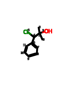 CC(C)(O)C(Cl)c1ccccc1